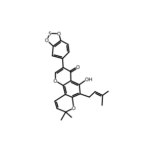 CC(C)=CCc1c2c(c3occ(-c4ccc5c(c4)OSO5)c(=O)c3c1O)C=CC(C)(C)O2